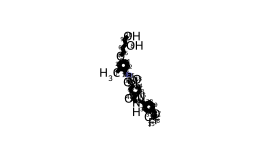 Cc1cc(OCCC(O)CO)ccc1/C=C/S(=O)(=O)N1CCC2(CC1)N=C(c1ccc3c(c1)OC(F)(F)O3)NC2=O